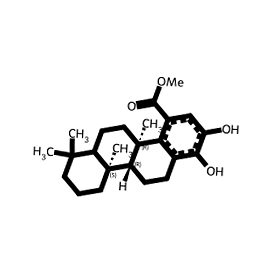 COC(=O)c1cc(O)c(O)c2c1[C@]1(C)CCC3C(C)(C)CCC[C@]3(C)[C@H]1CC2